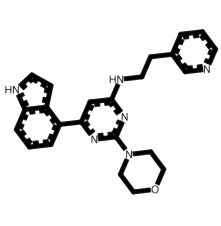 c1cncc(CCNc2cc(-c3cccc4[nH]ccc34)nc(N3CCOCC3)n2)c1